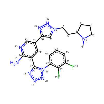 CN1CCCC1CCn1cc(-c2cnc(N)c(-c3nnnn3-c3cccc(F)c3F)c2)nn1